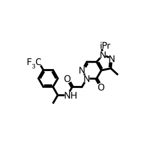 Cc1nn(C(C)C)c2cnn(CC(=O)NC(C)c3ccc(C(F)(F)F)cc3)c(=O)c12